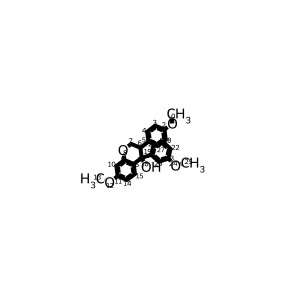 COc1ccc(C2COc3cc(OC)ccc3C2(O)c2cccc(OC)c2)cc1